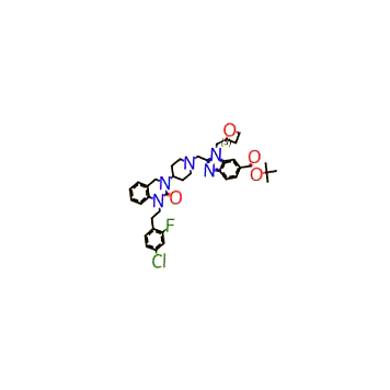 CC(C)(C)OC(=O)c1ccc2nc(CN3CCC(N4Cc5ccccc5N(CCc5ccc(Cl)cc5F)C4=O)CC3)n(C[C@@H]3CCO3)c2c1